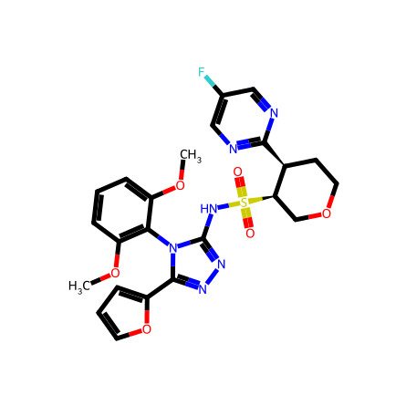 COc1cccc(OC)c1-n1c(NS(=O)(=O)[C@@H]2COCC[C@@H]2c2ncc(F)cn2)nnc1-c1ccco1